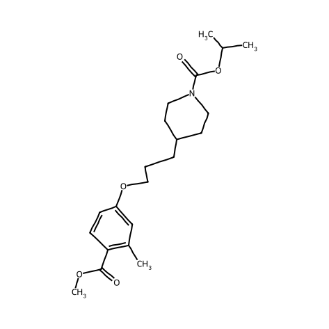 COC(=O)c1ccc(OCCCC2CCN(C(=O)OC(C)C)CC2)cc1C